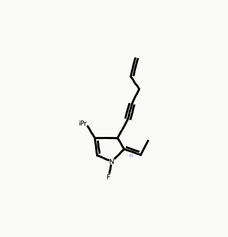 C=CCC#CC1C(C(C)C)=CN(F)/C1=C/C